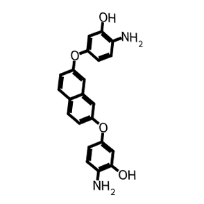 Nc1ccc(Oc2ccc3ccc(Oc4ccc(N)c(O)c4)cc3c2)cc1O